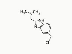 CN(C)Cc1nc2cc(CCl)ccc2[nH]1